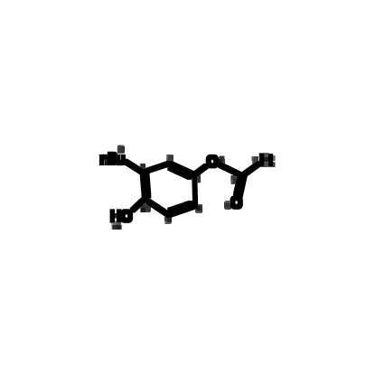 CCCCc1cc(OC(=O)CC)ccc1O